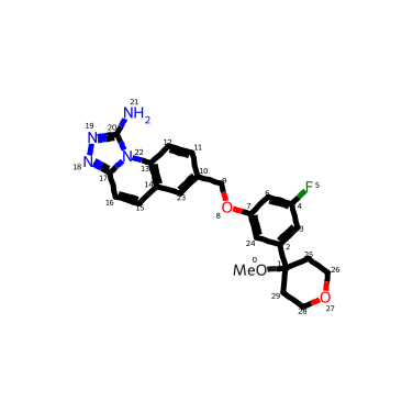 COC1(c2cc(F)cc(OCc3ccc4c(ccc5nnc(N)n54)c3)c2)CCOCC1